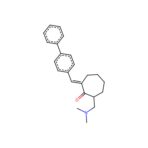 CN(C)CC1CCCCC(=Cc2ccc(-c3ccccc3)cc2)C1=O